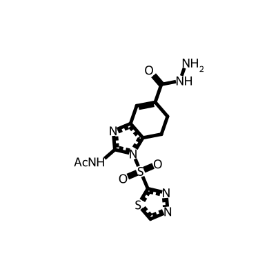 CC(=O)Nc1nc2c(n1S(=O)(=O)c1nncs1)CCC(C(=O)NN)=C2